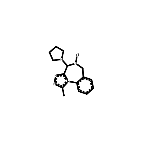 Cc1nnc2n1-c1ccccc1CN(Cl)C2N1CCCC1